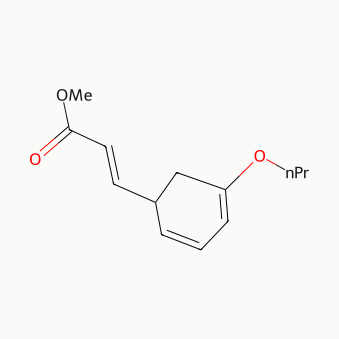 CCCOC1=CC=CC(C=CC(=O)OC)C1